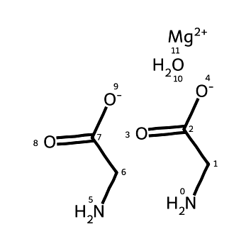 NCC(=O)[O-].NCC(=O)[O-].O.[Mg+2]